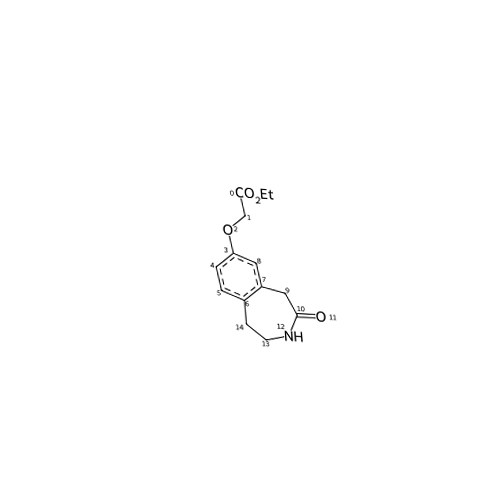 CCOC(=O)COc1ccc2c(c1)CC(=O)NCC2